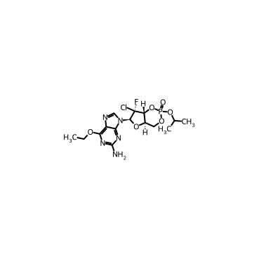 CCOc1nc(N)nc2c1ncn2[C@@H]1O[C@@H]2COP(=O)(OC(C)C)O[C@H]2[C@]1(F)Cl